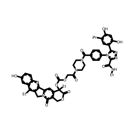 CCNC(=O)c1nnc(-c2cc(C(C)C)c(O)cc2O)n1-c1ccc(C(=O)N2CCN(C(=O)COC(=O)OC3(CC)C(=O)OCc4c3cc3n(c4=O)Cc4c-3nc3ccc(O)cc3c4CC)CC2)cc1